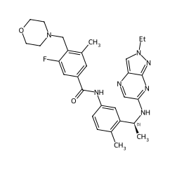 CCn1cc2ncc(N[C@@H](C)c3cc(NC(=O)c4cc(C)c(CN5CCOCC5)c(F)c4)ccc3C)nc2n1